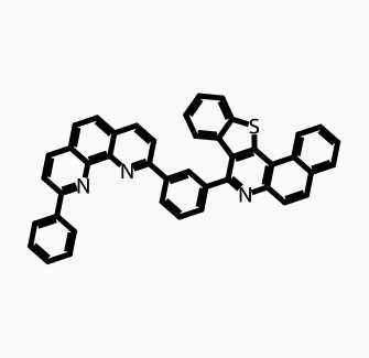 c1ccc(-c2ccc3ccc4ccc(-c5cccc(-c6nc7ccc8ccccc8c7c7sc8ccccc8c67)c5)nc4c3n2)cc1